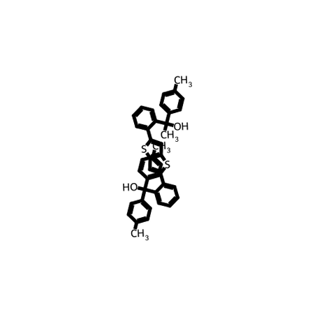 Cc1ccc(C(C)(O)c2ccccc2-c2cc3sc(-c4ccccc4C(O)(c4ccc(C)cc4)c4ccc(C)cc4)cc3s2)cc1